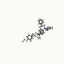 CCCc1ccc(OCCNc2ncc3c(n2)CC(c2ccccc2)C/C3=N\O)cc1